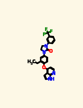 CCc1cc(N2CCN(c3cccc(C(F)(F)F)c3)C2=O)ccc1Oc1ccnc2[nH]ccc12